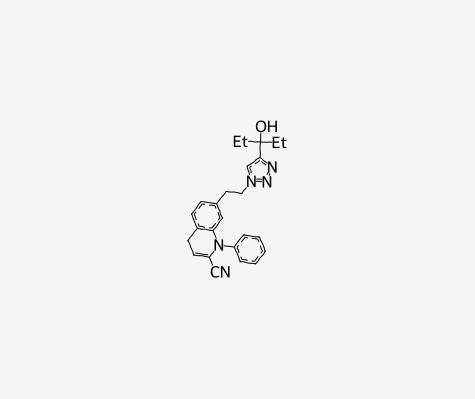 CCC(O)(CC)c1cn(CCc2ccc3c(c2)N(c2ccccc2)C(C#N)=CC3)nn1